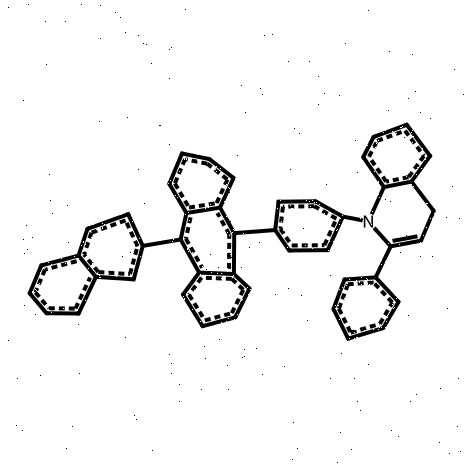 C1=C(c2ccccc2)N(c2ccc(-c3c4ccccc4c(-c4ccc5ccccc5c4)c4ccccc34)cc2)c2ccccc2C1